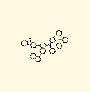 c1ccc(C2(c3ccccc3)c3ccccc3-c3ccc(N(c4ccc(-c5ccc6c(c5)sc5ccccc56)cc4)c4ccccc4-c4cccc(-c5cccc6ccccc56)c4)cc32)cc1